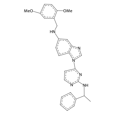 COc1ccc(OC)c(CNc2ccc3c(c2)ncn3-c2ccnc(NC(C)c3ccccc3)n2)c1